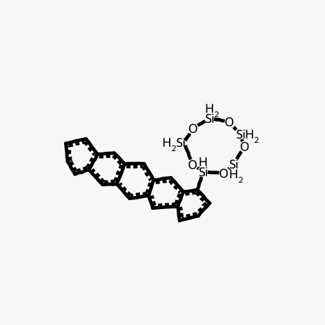 c1ccc2cc3cc4cc5c([SiH]6O[SiH2]O[SiH2]O[SiH2]O[SiH2]O6)cccc5cc4cc3cc2c1